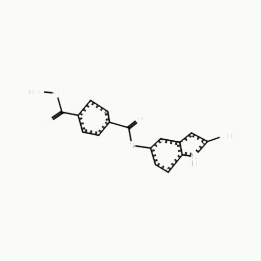 COC(=O)c1ccc(C(=O)Nc2ccc3[nH]c(O)cc3c2)cc1